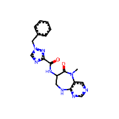 CN1C(=O)C(NC(=O)c2ncn(Cc3ccccc3)n2)CNc2ncncc21